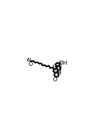 CN(C)C(=O)CCCCCCCCCCCC1CC2CC(=O)CC[C@]2(C)[C@@H]2CC[C@]3(C)C(O)CC[C@H]3[C@H]12